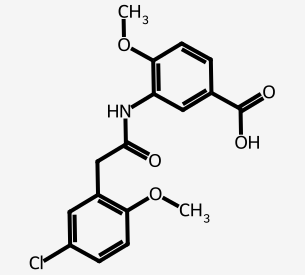 COc1ccc(Cl)cc1CC(=O)Nc1cc(C(=O)O)ccc1OC